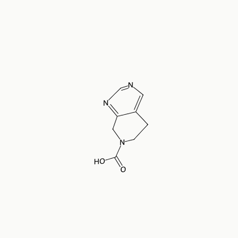 O=C(O)N1CCc2cncnc2C1